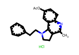 CC(=O)Oc1ccc2nc(C)c3c(c2c1)N(CCc1ccccc1)CC3.Cl